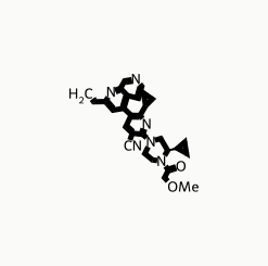 C=Cc1cc(-c2cc(C#N)c(N3CCN(C(=O)COC)[C@H](C4CC4)C3)nc2C2CC2)c2ccncc2n1